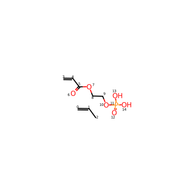 C=CC.C=CC(=O)OCCOP(=O)(O)O